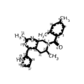 Cc1ccc(C(=O)N2Cc3nc(C)nc(-c4ccn[nH]4)c3CC2C)c(C)c1